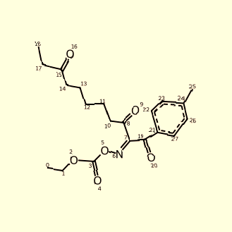 CCOC(=O)O/N=C(\C(=O)CCCCCC(=O)CC)C(=O)c1ccc(C)cc1